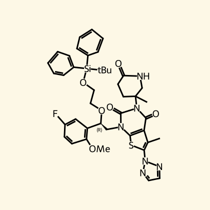 COc1ccc(F)cc1[C@H](Cn1c(=O)n(C2(C)CCC(=O)NC2)c(=O)c2c(C)c(-n3nccn3)sc21)OCCO[Si](c1ccccc1)(c1ccccc1)C(C)(C)C